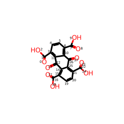 O=C(O)c1ccc(C(=O)O)c2c1C(=O)c1c(C(=O)O)ccc(C(=O)O)c1C2=O